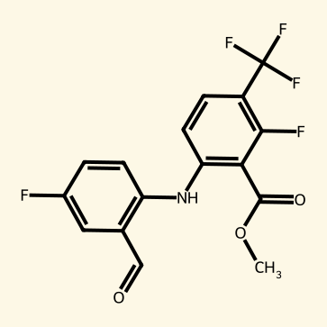 COC(=O)c1c(Nc2ccc(F)cc2C=O)ccc(C(F)(F)F)c1F